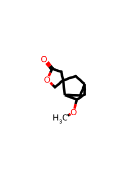 COC1CC2CC1C1(COC(=O)C1)C2